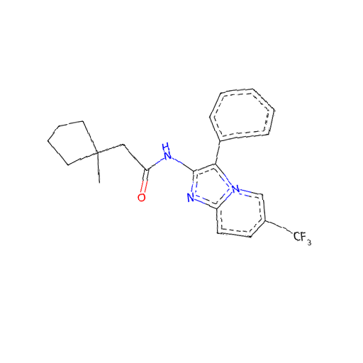 CC1(CC(=O)Nc2nc3ccc(C(F)(F)F)cn3c2-c2ccccc2)CCCC1